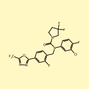 O=C(N1CCC(F)(F)C1)N(Cc1ccc(-c2nnc(C(F)(F)F)o2)cc1F)c1ccc(F)c(Cl)c1